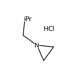 CC(C)CN1CC1.Cl